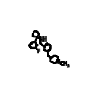 CN1CCC(Cc2cccc(CNC3(c4cccc(F)c4)CCCC3)c2)CC1